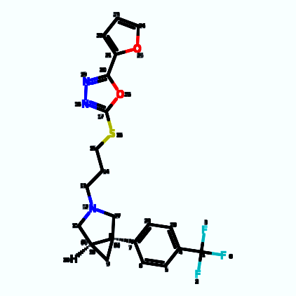 FC(F)(F)c1ccc([C@]23C[C@H]2CN(CCCSc2nnc(-c4ccco4)o2)C3)cc1